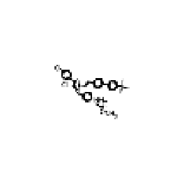 COC(=O)CNc1ccc(Cn2cc(-c3ccc(Cl)cc3Cl)nc2C=Cc2ccc(-c3ccc(C(F)(F)F)cc3)cc2)cc1